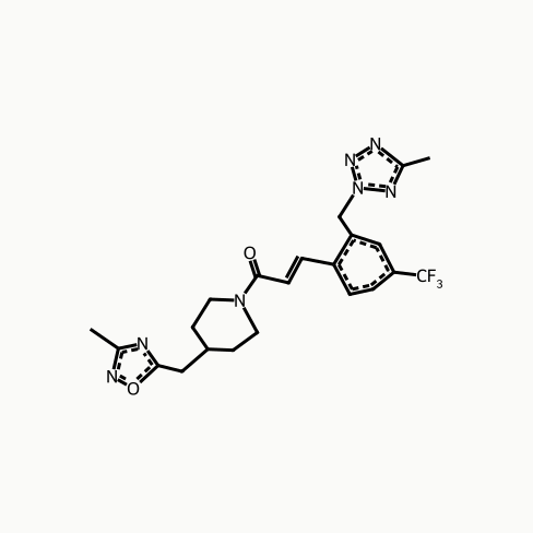 Cc1noc(CC2CCN(C(=O)/C=C/c3ccc(C(F)(F)F)cc3Cn3nnc(C)n3)CC2)n1